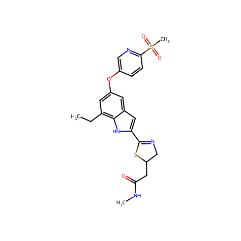 CCc1cc(Oc2ccc(S(C)(=O)=O)nc2)cc2cc(C3=NCC(CC(=O)NC)S3)[nH]c12